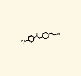 O=[N+]([O-])c1ccc(NCC2CCN(CCO)CC2)cn1